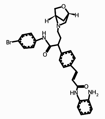 Nc1ccccc1NC(=O)/C=C/c1ccc(C(CCN2C[C@@H]3C[C@H]2CO3)C(=O)Nc2ccc(Br)cc2)cc1